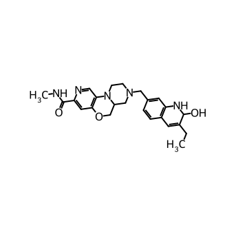 CCC1=Cc2ccc(CN3CCN4c5cnc(C(=O)NC)cc5OCC4C3)cc2NC1O